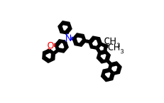 CC1(C)C2=CC=C(c3ccc(N(c4ccccc4)c4ccc5c(c4)oc4ccccc45)cc3)CC2c2ccc(-c3cccc4ccccc34)cc21